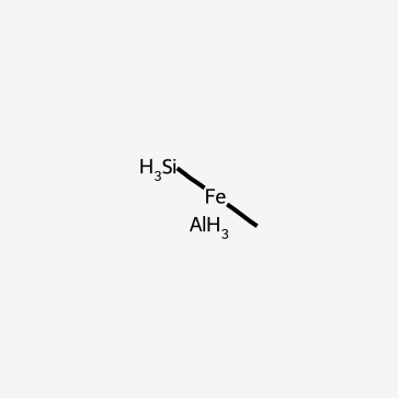 [AlH3].[CH3][Fe][SiH3]